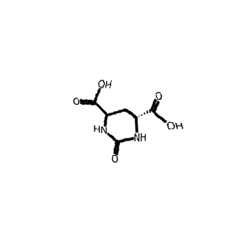 O=C1NC(C(=O)O)C[C@H](C(=O)O)N1